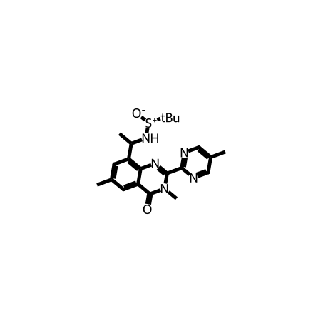 Cc1cnc(-c2nc3c(C(C)N[S+]([O-])C(C)(C)C)cc(C)cc3c(=O)n2C)nc1